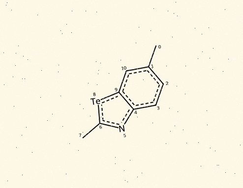 Cc1ccc2nc(C)[te]c2c1